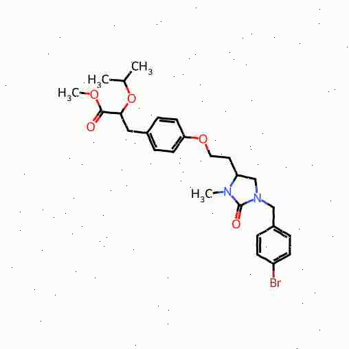 COC(=O)C(Cc1ccc(OCCC2CN(Cc3ccc(Br)cc3)C(=O)N2C)cc1)OC(C)C